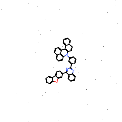 c1cc(-c2nc(-c3ccc4c(c3)oc3ccccc34)c3ccccc3n2)cc(N2c3ccc4ccccc4c3-c3cccc4cccc2c34)c1